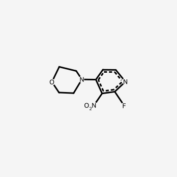 O=[N+]([O-])c1c(N2CCOCC2)ccnc1F